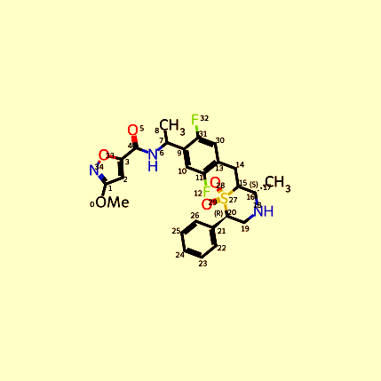 COc1cc(C(=O)NC(C)c2cc(F)c(CC3[C@H](C)NC[C@@H](c4ccccc4)S3(=O)=O)cc2F)on1